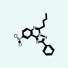 CCCCc1nc2ccc([N+](=O)[O-])cc2c2nc(-c3ccccc3)nn12